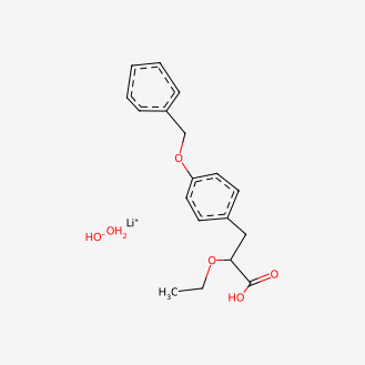 CCOC(Cc1ccc(OCc2ccccc2)cc1)C(=O)O.O.[Li+].[OH-]